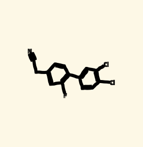 N#CCc1ccc(-c2ccc(Cl)c(Cl)c2)c(F)c1